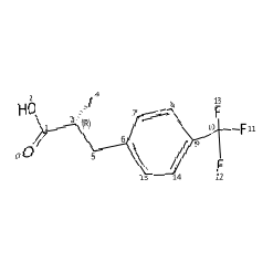 O=C(O)[C@H](I)Cc1ccc(C(F)(F)F)cc1